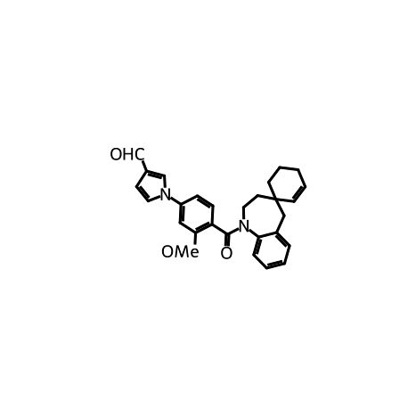 COc1cc(-n2ccc(C=O)c2)ccc1C(=O)N1CCC2(C=CCCC2)Cc2ccccc21